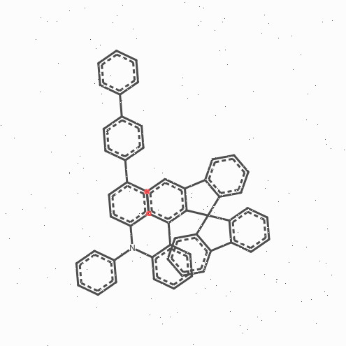 c1ccc(-c2ccc(-c3ccc(N(c4ccccc4)c4ccccc4-c4cccc5c4C4(c6ccccc6-c6ccccc64)c4ccccc4-5)cc3)cc2)cc1